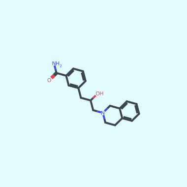 NC(=O)c1cccc(CC(O)CN2CCc3ccccc3C2)c1